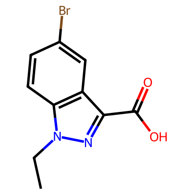 CCn1nc(C(=O)O)c2cc(Br)ccc21